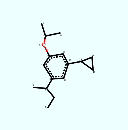 CCC(C)c1cc(OC(C)C)cc(C2CC2)c1